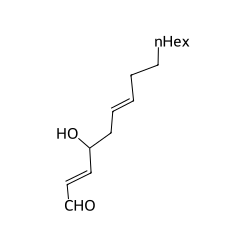 CCCCCCCC/C=C/CC(O)/C=C/C=O